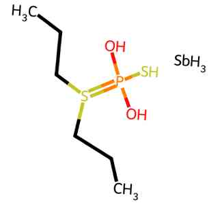 CCCS(CCC)=P(O)(O)S.[SbH3]